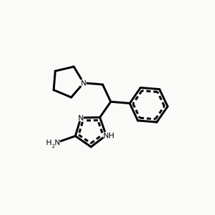 Nc1c[nH]c(C(CN2CCCC2)c2ccccc2)n1